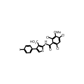 COc1c(Cl)cc(Cl)c(C(=O)Nc2scc(-c3ccc(I)cc3)c2C(=O)O)c1Cl